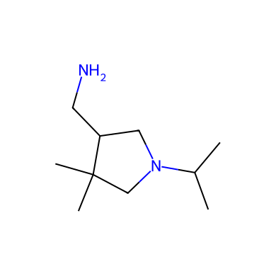 CC(C)N1CC(CN)C(C)(C)C1